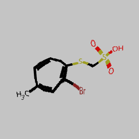 Cc1ccc(SCS(=O)(=O)O)c(Br)c1